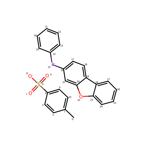 Cc1ccc(S(=O)(=O)[O-])cc1.c1ccc([I+]c2ccc3c(c2)oc2ccccc23)cc1